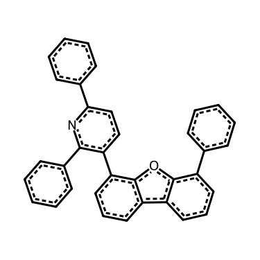 c1ccc(-c2ccc(-c3cccc4c3oc3c(-c5ccccc5)cccc34)c(-c3ccccc3)n2)cc1